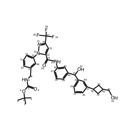 CC(C)(C)OC(=O)NCc1cccc(-n2nc(C(F)(F)F)cc2C(=O)Nc2cccc(C(O)c3cccc(C4CC(CO)C4)c3)c2)c1